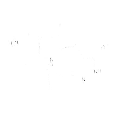 Cc1[nH]c(/C=C2/C(=O)NN=C2C2CC2)c(C)c1CN